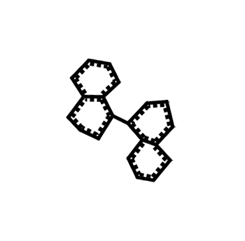 [c]1[c]c(-c2cccc3ccccc23)c2ccc[c]c2[c]1